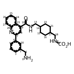 NCc1cccc(-c2cc(C(=O)NCC3CCC(CNC(=O)O)CC3)c3ccccc3n2)c1